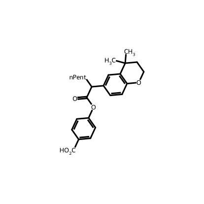 CCCCCC(C(=O)Oc1ccc(C(=O)O)cc1)c1ccc2c(c1)C(C)(C)CCO2